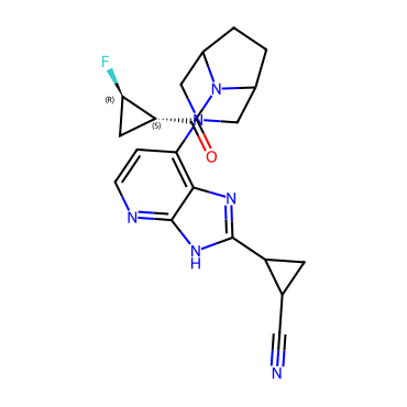 N#CC1CC1c1nc2c(N3CC4CCC(C3)N4C(=O)[C@@H]3C[C@H]3F)ccnc2[nH]1